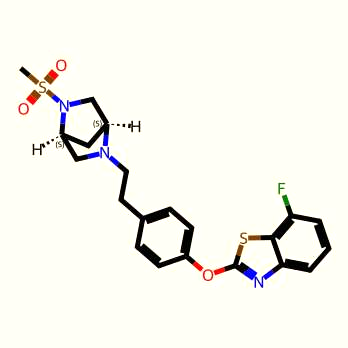 CS(=O)(=O)N1C[C@@H]2C[C@H]1CN2CCc1ccc(Oc2nc3cccc(F)c3s2)cc1